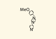 COc1ccc(CN2CCN(c3ccncc3)CC2)cc1